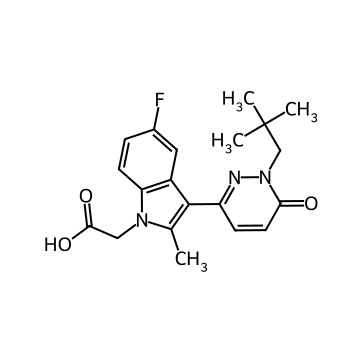 Cc1c(-c2ccc(=O)n(CC(C)(C)C)n2)c2cc(F)ccc2n1CC(=O)O